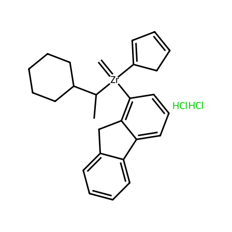 Cl.Cl.[CH2]=[Zr]([C]1=CC=CC1)([c]1cccc2c1Cc1ccccc1-2)[CH](C)C1CCCCC1